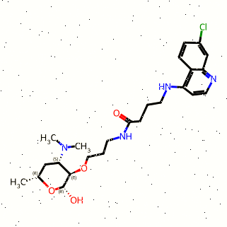 C[C@@H]1C[C@H](N(C)C)[C@@H](OCCCNC(=O)CCCNc2ccnc3cc(Cl)ccc23)[C@H](O)O1